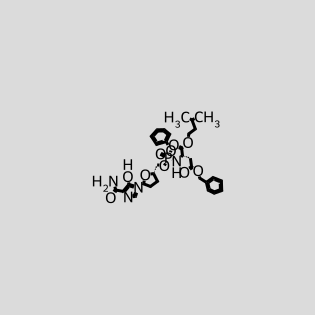 CC(C)CCOC(=O)[C@H](CC(=O)OCc1ccccc1)NP(=O)(OC[C@@H]1CC[C@H](n2cnc(C(N)=O)c2O)O1)Oc1ccccc1